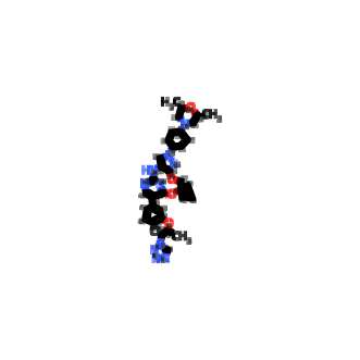 CC(Cn1cnnn1)Oc1cc(-c2cnc(Nc3cn(C4CCC(N5C[C@@H](C)O[C@@H](C)C5)CC4)nc3OCC3(O)CCC3)nc2)ccc1C#N